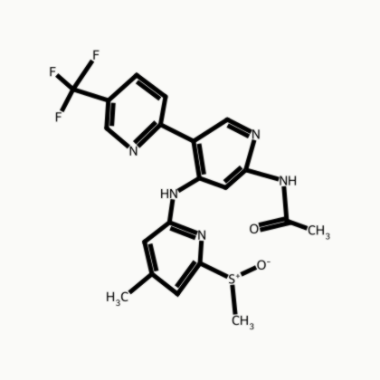 CC(=O)Nc1cc(Nc2cc(C)cc([S+](C)[O-])n2)c(-c2ccc(C(F)(F)F)cn2)cn1